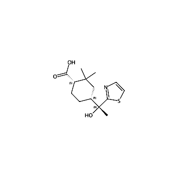 CC1(C)C[C@H]([C@@](C)(O)c2nccs2)CC[C@@H]1C(=O)O